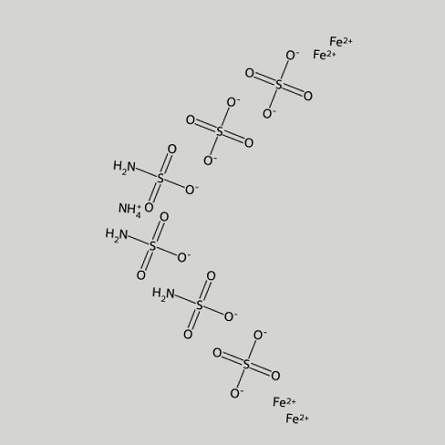 NS(=O)(=O)[O-].NS(=O)(=O)[O-].NS(=O)(=O)[O-].O=S(=O)([O-])[O-].O=S(=O)([O-])[O-].O=S(=O)([O-])[O-].[Fe+2].[Fe+2].[Fe+2].[Fe+2].[NH4+]